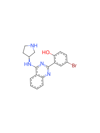 Oc1ccc(Br)cc1-c1nc(N[C@H]2CCNC2)c2ccccc2n1